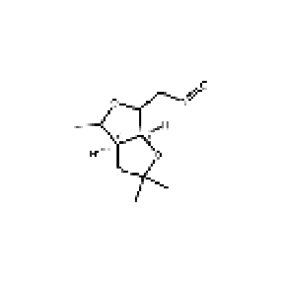 CC1OC(CN=O)[C@H]2OC(C)(C)O[C@@H]12